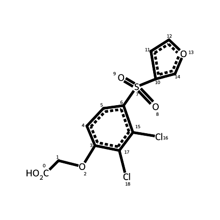 O=C(O)COc1ccc(S(=O)(=O)c2ccoc2)c(Cl)c1Cl